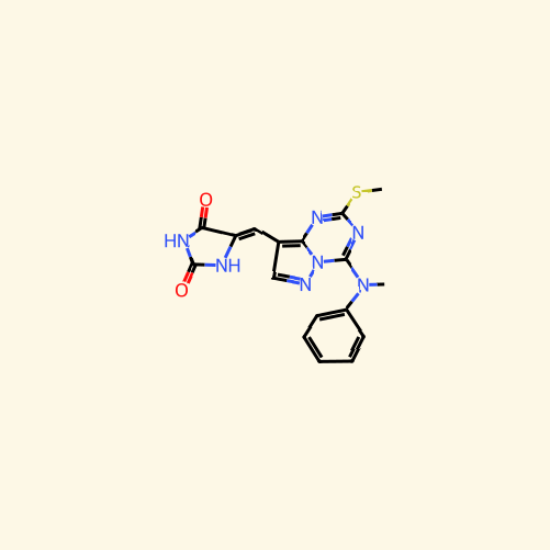 CSc1nc(N(C)c2ccccc2)n2ncc(/C=C3\NC(=O)NC3=O)c2n1